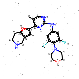 Cc1cnc(Nc2cc(F)c(N3CCOCC3)c(F)c2)nc1-c1cc2c(o1)CCNC2